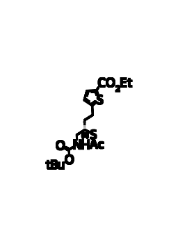 CCOC(=O)c1ccc(CC[C@@H](CNC(=O)OC(C)(C)C)SC(C)=O)s1